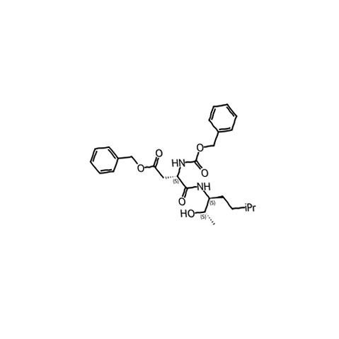 CC(C)CC[C@H](NC(=O)[C@H](CC(=O)OCc1ccccc1)NC(=O)OCc1ccccc1)[C@H](C)O